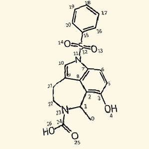 CC1c2c(O)ccc3c2c(cn3S(=O)(=O)c2ccccc2)CCN1C(=O)O